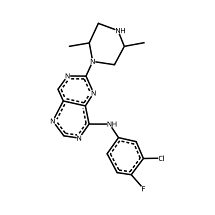 CC1CN(c2ncc3ncnc(Nc4ccc(F)c(Cl)c4)c3n2)C(C)CN1